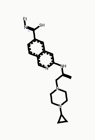 C=C(CN1CCN(C2CC2)CC1)Nc1cc2cc(/C(S)=N/CC)ccc2cn1